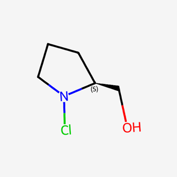 OC[C@@H]1CCCN1Cl